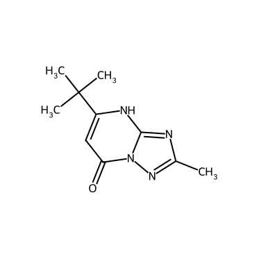 Cc1nc2[nH]c(C(C)(C)C)cc(=O)n2n1